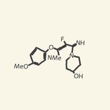 CN/C(Oc1ccc(OC)cc1)=C(/F)C(=N)N1CCC(O)CC1